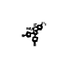 CCOc1cc(C(F)(F)F)ccc1C1=NC(c2ccc(Cl)cc2)C(c2ccc(Cl)cc2)N1C(=O)O